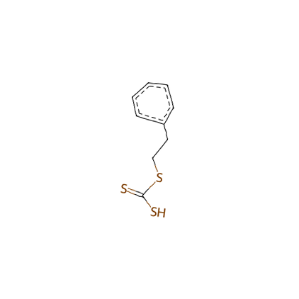 S=C(S)SCCc1ccccc1